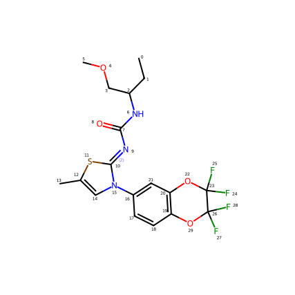 CCC(COC)NC(=O)/N=c1\sc(C)cn1-c1ccc2c(c1)OC(F)(F)C(F)(F)O2